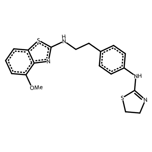 COc1cccc2sc(NCCc3ccc(NC4=NCCS4)cc3)nc12